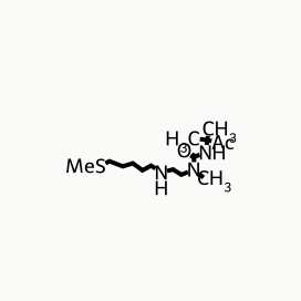 CSCCCCCNCCN(C)C(=O)NC(C)(C)C(C)=O